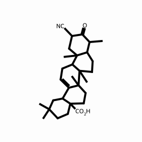 CC1C(=O)C(C#N)CC2(C)C1CCC1(C)C2CC=C2C3CC(C)(C)CCC3(C(=O)O)CCC21C